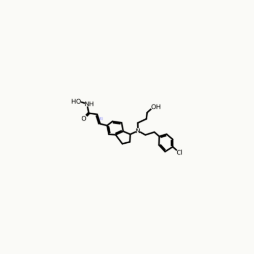 O=C(/C=C/c1ccc2c(c1)CCC2N(CCCO)CCc1ccc(Cl)cc1)NO